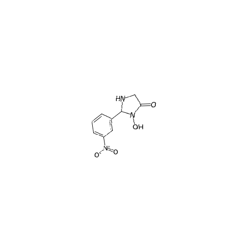 O=C1CNC(c2cccc([N+](=O)[O-])c2)N1O